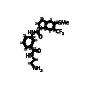 CSc1cc2c(cc1C(F)(F)F)N(C(=O)Nc1cccc(C(=O)NCCN)c1)CC2